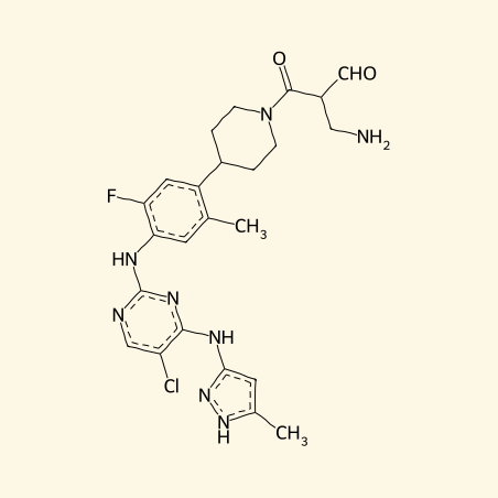 Cc1cc(Nc2nc(Nc3cc(C)c(C4CCN(C(=O)C(C=O)CN)CC4)cc3F)ncc2Cl)n[nH]1